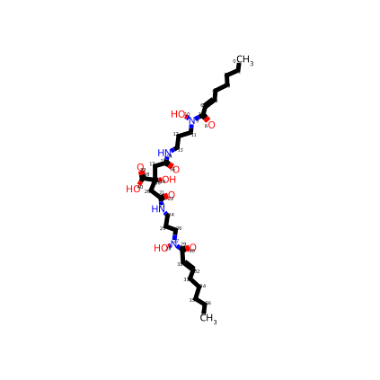 CCCCC/C=C/C(=O)N(O)CCCNC(=O)CC(O)(CC(=O)NCCCN(O)C(=O)/C=C/CCCCC)C(=O)O